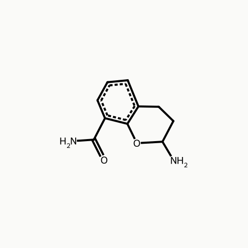 NC(=O)c1cccc2c1OC(N)CC2